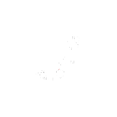 Cn1ccnc1C(=O)N1CCC(N[C@H](Cc2ccc(Cl)cc2)C(=O)N2CCC(Cc3nc[nH]n3)(C3CCCCC3)CC2)CC1